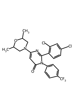 CC1CN(c2cc(=O)n(-c3ccc(C(F)(F)F)cc3)c(-c3ccc(Cl)cc3Cl)n2)CC(C)O1